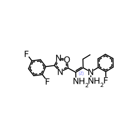 CC/C(=C(/N)c1nc(-c2cc(F)ccc2F)no1)N(N)c1ccccc1F